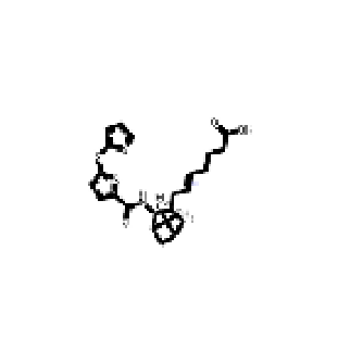 CC1(C)C2CC(C/C=C/CCCC(=O)O)C(NC(=O)c3ccc(Sc4cccs4)s3)C1C2